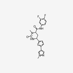 CN1C(C(=O)Nc2ccc(F)c(F)c2)CC(c2ccc(-c3cnn(C)c3)s2)N[S+]1[O-]